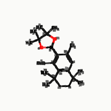 COc1c(B2OC(C)(C)C(C)(C)O2)c(C)cc2c1C(C)(C)CCC2(C)C